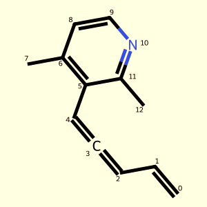 C=CC=C=Cc1c(C)ccnc1C